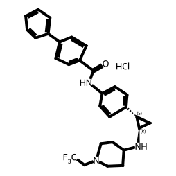 Cl.O=C(Nc1ccc([C@@H]2C[C@H]2NC2CCN(CC(F)(F)F)CC2)cc1)c1ccc(-c2ccccc2)cc1